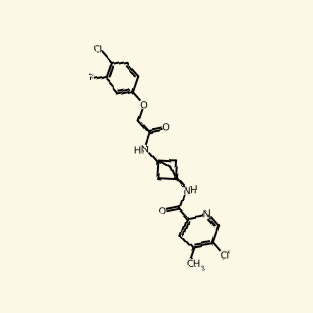 Cc1cc(C(=O)NC23CC(NC(=O)COc4ccc(Cl)c(F)c4)(C2)C3)ncc1Cl